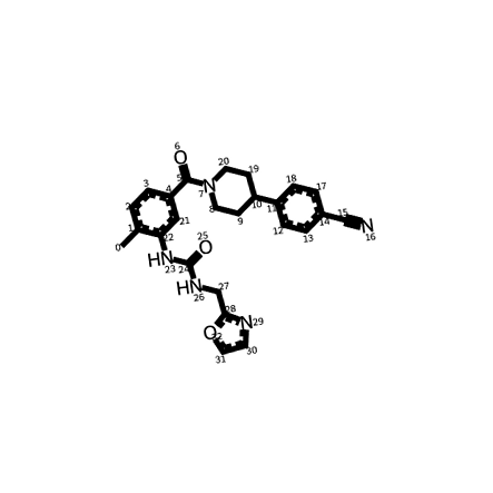 Cc1ccc(C(=O)N2CCC(c3ccc(C#N)cc3)CC2)cc1NC(=O)NCc1ncco1